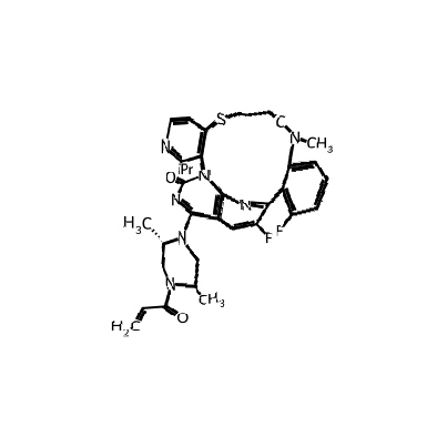 C=CC(=O)N1C[C@H](C)N(c2nc(=O)n3c4nc(c(F)cc24)-c2c(F)cccc2N(C)CCCSc2ccnc(C(C)C)c2-3)C[C@H]1C